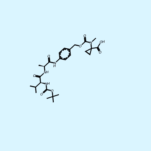 CC(C)[C@H](NC(=O)OC(C)(C)C)C(=O)N[C@@H](C)C(=O)Nc1ccc(COC(=O)N(C)C2(C(=O)O)CC2)cc1